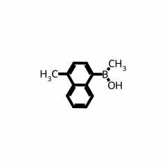 CB(O)c1ccc(C)c2ccccc12